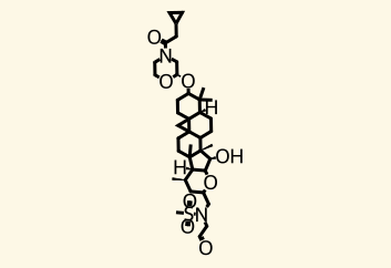 C[C@@H]1CC(CN(CC=O)S(C)(=O)=O)OC2[C@H]1C1(C)CCC34CC35CCC(O[C@H]3CN(C(=O)CC6CC6)CCO3)C(C)(C)[C@@H]5CCC4[C@]1(C)[C@H]2O